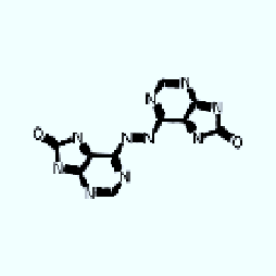 O=C1N=c2ncnc(N=Nc3ncnc4c3=NC(=O)N=4)c2=N1